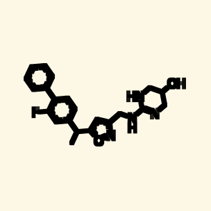 CC(c1ccc(-c2ccccc2)c(F)c1)c1cc(CNC2=NCC(O)CN2)no1